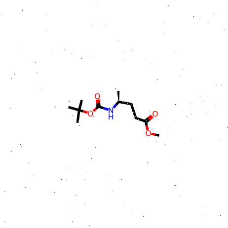 COC(=O)CC[C@H](C)NC(=O)OC(C)(C)C